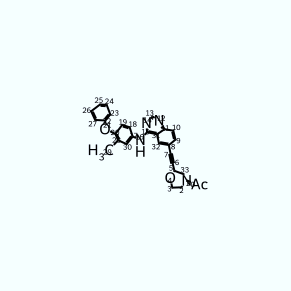 CC(=O)N1CCOC(C#Cc2ccc3ncnc(Nc4ccc(Oc5ccccc5)c(C)c4)c3c2)C1